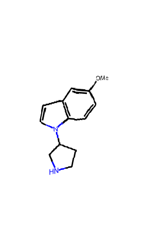 COc1ccc2c(ccn2C2CCNC2)c1